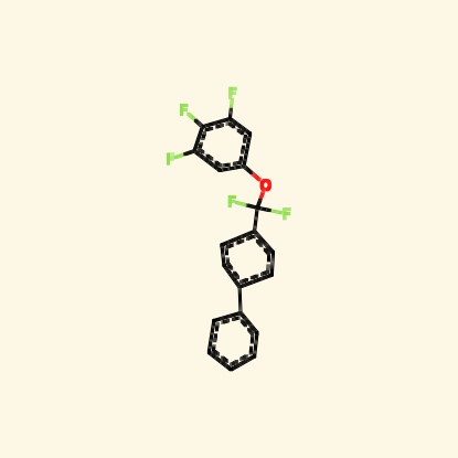 Fc1cc(OC(F)(F)c2ccc(-c3ccccc3)cc2)cc(F)c1F